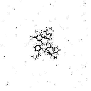 COc1cccc(C2OC(CC(=O)N3CCC[C@@H]3C(=O)O)c3nnc(C(C)C)n3-c3ccc(Cl)cc32)c1OC